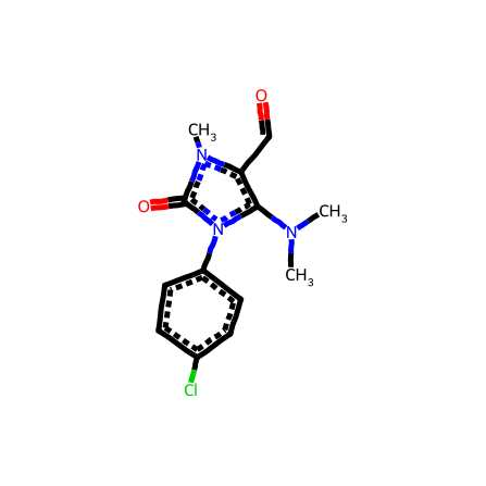 CN(C)c1c(C=O)n(C)c(=O)n1-c1ccc(Cl)cc1